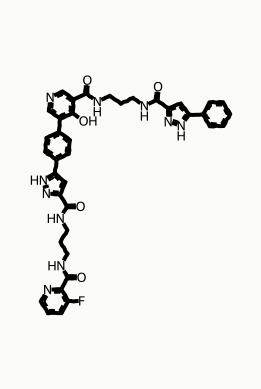 O=C(NCCCNC(=O)c1cncc(-c2ccc(-c3cc(C(=O)NCCCNC(=O)c4ncccc4F)n[nH]3)cc2)c1O)c1cc(-c2ccccc2)[nH]n1